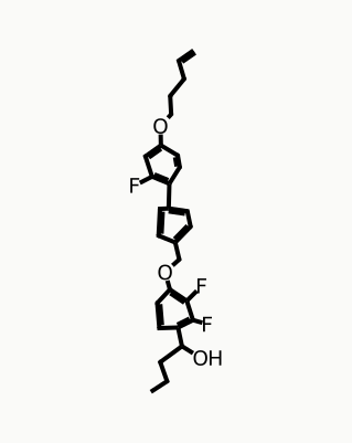 C=CCCCOc1ccc(-c2ccc(COc3ccc(C(O)CCC)c(F)c3F)cc2)c(F)c1